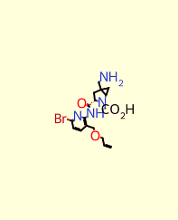 C=CCOCc1ccc(Br)nc1NC(=O)[C@@H]1CC2(CN)CC2N1C(=O)O